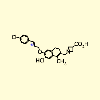 CC1=C(CN2CC(C(=O)O)C2)CCc2cc(OC/C=C/c3ccc(Cl)cc3)ccc21.Cl